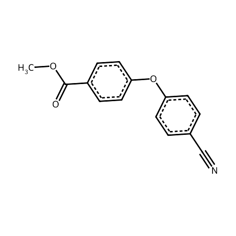 COC(=O)c1ccc(Oc2ccc(C#N)cc2)cc1